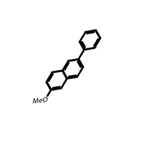 COc1ccc2cc(-c3[c]cccc3)ccc2c1